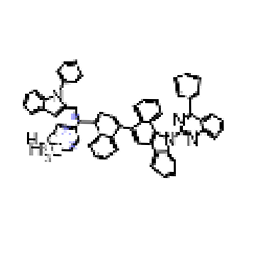 C\C=C/C(=C\C)C(=C\c1cc2ccccc2n1-c1ccccc1)/c1ccc(-c2cc3c4ccccc4n(-c4nc(-c5ccccc5)c5ccccc5n4)c3c3ccccc23)c2ccccc12